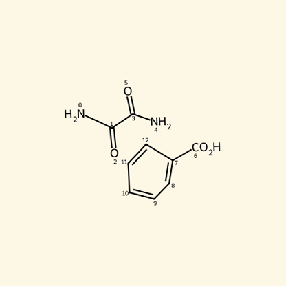 NC(=O)C(N)=O.O=C(O)c1ccccc1